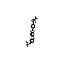 CC(C)c1noc(C2CCN(c3nc4ccc(Oc5ccc(C[SH](=O)=O)cc5)nc4s3)CC2)n1